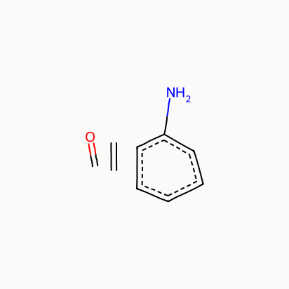 C=C.C=O.Nc1ccccc1